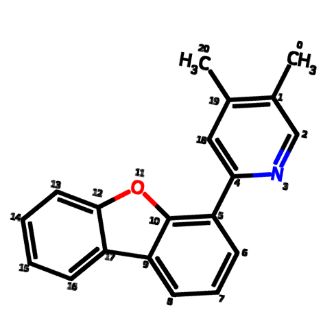 Cc1cnc(-c2cccc3c2oc2ccccc23)cc1C